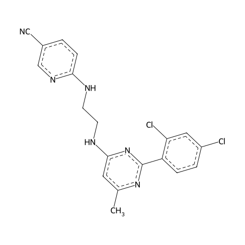 Cc1cc(NCCNc2ccc(C#N)cn2)nc(-c2ccc(Cl)cc2Cl)n1